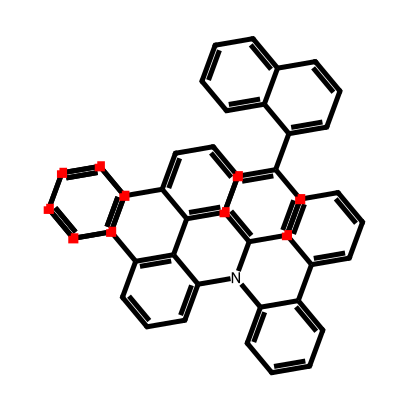 c1ccc(-c2ccccc2-c2c(-c3ccccc3)cccc2N(c2ccc(-c3cccc4ccccc34)cc2)c2ccccc2-c2ccccc2)cc1